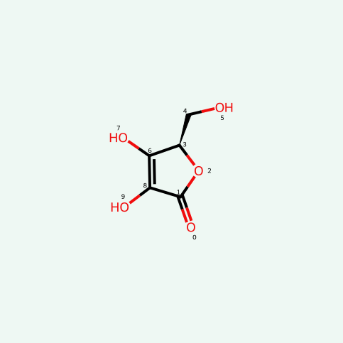 O=C1O[C@H](CO)C(O)=C1O